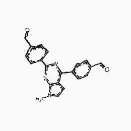 Cn1ccc2c(-c3ccc(C=O)cc3)nc(-c3ccc(C=O)cc3)nc21